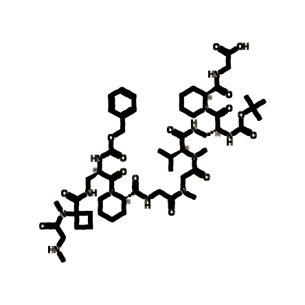 CNCC(=O)N(C)C1(C(=O)NC[C@@H](NC(=O)OCc2ccccc2)C(=O)N2CCCC[C@H]2C(=O)NCC(=O)N(C)CC(=O)N(C)[C@H](C(=O)NC[C@@H](NC(=O)OC(C)(C)C)C(=O)N2CCCC[C@H]2C(=O)NCC(=O)O)C(C)C)CCC1